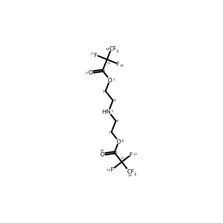 O=C(OCCNCCOC(=O)C(F)(F)C(F)(F)F)C(F)(F)C(F)(F)F